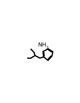 CCC(CC)Cc1ccccc1.N